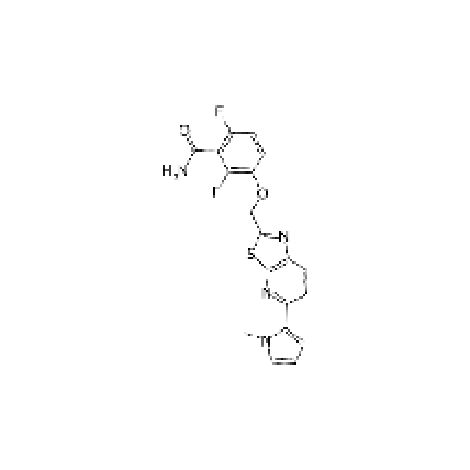 Cn1cccc1-c1ccc2nc(COc3ccc(F)c(C(N)=O)c3F)sc2n1